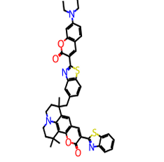 CCN(CC)c1ccc2cc(-c3nc4cc(CC5(C)CCN6CCC(C)(C)c7c6c5cc5cc(-c6nc8ccccc8s6)c(=O)oc75)ccc4s3)c(=O)oc2c1